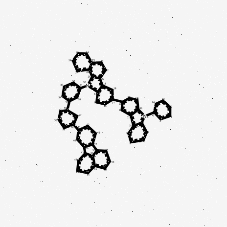 c1ccc(-n2c3ccccc3c3cc(-c4ccc5c(c4)c4ccc6ccccc6c4n5-c4cccc(-c5cccc(-c6ccc7c(c6)-c6cccc8cccc-7c68)c5)c4)ccc32)cc1